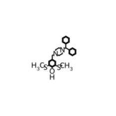 CSc1cc(CN2CCN(C(c3ccccc3)c3ccccc3)CC2)cc(SC)c1O